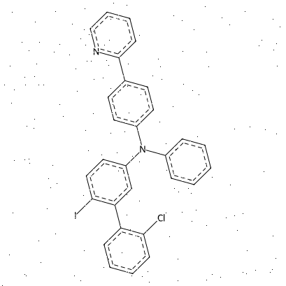 Clc1ccccc1-c1cc(N(c2ccccc2)c2ccc(-c3ccccn3)cc2)ccc1I